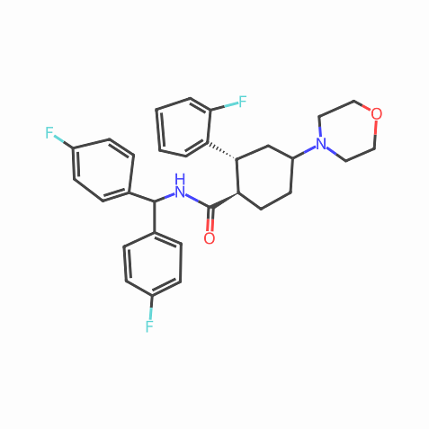 O=C(NC(c1ccc(F)cc1)c1ccc(F)cc1)[C@@H]1CCC(N2CCOCC2)C[C@H]1c1ccccc1F